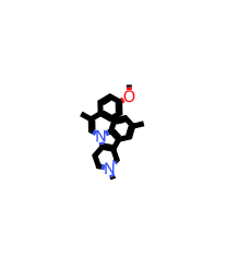 COc1ccc(/C(C)=C\n2c3c(c4cc(C)ccc42)CN(C)CC3)cc1